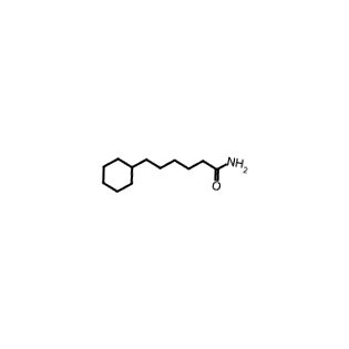 NC(=O)CCCCCC1CCCCC1